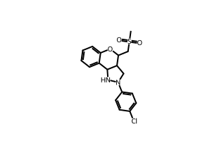 CS(=O)(=O)CC1Oc2ccccc2C2NN(c3ccc(Cl)cc3)CC12